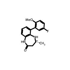 COc1ccc(F)cc1-c1cccc2c1N[C@H](C)CC(=O)N2